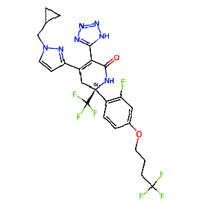 O=C1N[C@@](c2ccc(OCCCC(F)(F)F)cc2F)(C(F)(F)F)CC(c2ccn(CC3CC3)n2)=C1c1nnn[nH]1